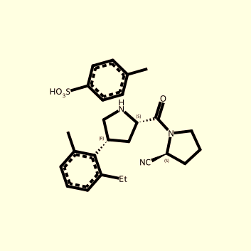 CCc1cccc(C)c1[C@@H]1CN[C@H](C(=O)N2CCC[C@H]2C#N)C1.Cc1ccc(S(=O)(=O)O)cc1